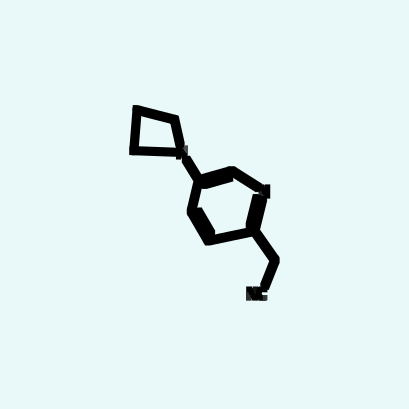 N#CCc1ccc(N2CCC2)cn1